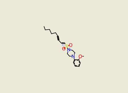 CCCCCC#C/C=C/S(=O)(=O)N1CCN(c2ccccc2OC)CC1